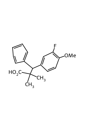 COc1ccc(C(c2ccccc2)C(C)(C)C(=O)O)cc1F